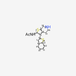 CC(=O)Nc1sc2c(c1-c1cc3ccccc3s1)CCNC2